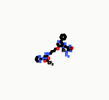 CCn1c(-c2nonc2N)nc2c(-c3ccccc3)ncc(OCCCCNC(CNc3ncccn3)OC(=O)C(F)(F)F)c21